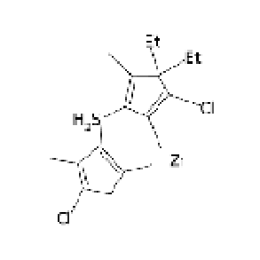 CCC1(CC)C(C)=C([SiH2]C2=C(C)CC(Cl)=C2C)C(C)=C1Cl.[Zr]